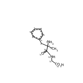 CC(N)(Cc1ccccc1)C(=O)NCC(=O)O